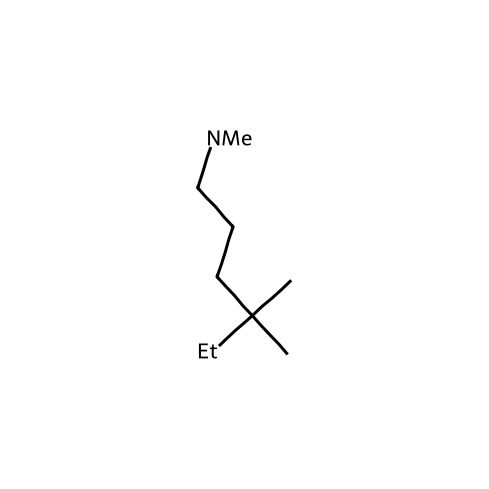 CCC(C)(C)CCCNC